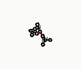 c1ccc(-c2cc(-c3ccccc3)nc(-c3ccc(-c4ccc(-c5nc6ccccc6c6ccc7c(c56)-c5ccccc5C7(c5ccccc5)c5ccccc5)cc4)cc3)n2)cc1